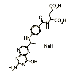 CC(Nc1ccc(C(=O)NC(CCC(=O)O)C(=O)O)cc1)c1cnc2nc(N)nc(O)c2n1.[NaH]